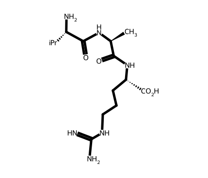 CC(C)[C@H](N)C(=O)N[C@@H](C)C(=O)N[C@@H](CCCNC(=N)N)C(=O)O